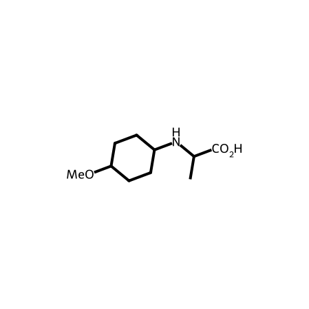 COC1CCC(NC(C)C(=O)O)CC1